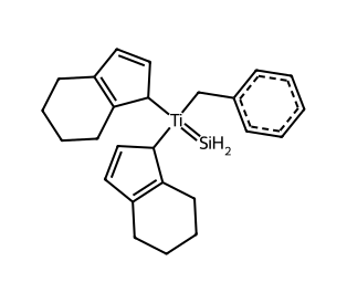 [SiH2]=[Ti]([CH2]c1ccccc1)([CH]1C=CC2=C1CCCC2)[CH]1C=CC2=C1CCCC2